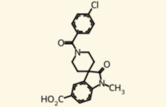 CN1C(=O)C2(CCN(C(=O)c3ccc(Cl)cc3)CC2)c2cc(C(=O)O)ccc21